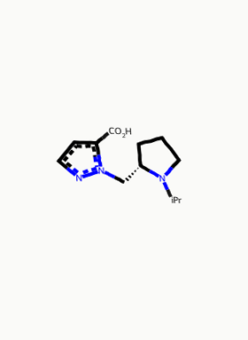 CC(C)N1CCC[C@H]1Cn1nccc1C(=O)O